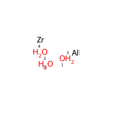 O.O.O.[Al].[Zr]